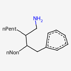 CCCCCCCCCC(Cc1ccccc1)C(CN)CCCCC